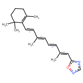 CC1=C(/C=C/C(C)=C/C=C/C(C)=C/c2ncno2)C(C)(C)CCC1